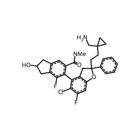 CNC(=O)c1cc2c(c(F)c1-c1c(Cl)c(F)cc3c1CC(CCC1(CN)CC1)(c1ccccc1)O3)CC(O)C2